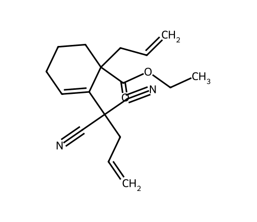 C=CCC(C#N)(C#N)C1=CCCCC1(CC=C)C(=O)OCC